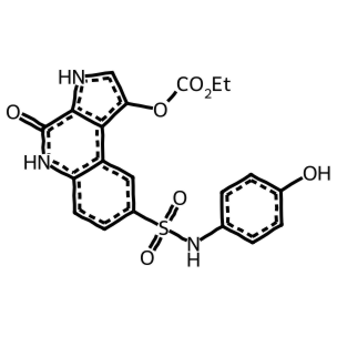 CCOC(=O)Oc1c[nH]c2c(=O)[nH]c3ccc(S(=O)(=O)Nc4ccc(O)cc4)cc3c12